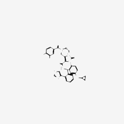 C[C@@H]1Cn2c(c(C(=O)NCc3ccccc3-c3c[nH]cn3)n(-c3ccc(OC4CC4)cc3)c2=O)CN1C(=O)c1ccc(Br)c(Cl)c1